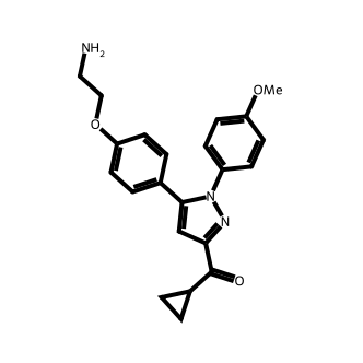 COc1ccc(-n2nc(C(=O)C3CC3)cc2-c2ccc(OCCN)cc2)cc1